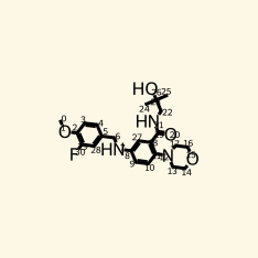 COc1ccc(CNc2ccc(N3CCOCC3)c(C(=O)NCC(C)(C)O)c2)cc1F